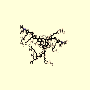 [C-]#[N+]/C(C#N)=C\c1cc(CCCCCC)c(-c2ccc(-c3sc(-c4cc5c6c(c4)C(C)(C)c4cc(-c7cc(CCCCCC)c(-c8ccc(-c9sc(/C=C(\C#N)[N+]#[C-])cc9CCCCCC)s8)s7)cc7c4N6c4c(cc(-c6cc(CCCCCC)c(-c8ccc(-c9sc(C=C(C#N)C#N)cc9CCCCCC)s8)s6)cc4C7(C)C)C5(C)C)cc3CCCCCC)s2)s1